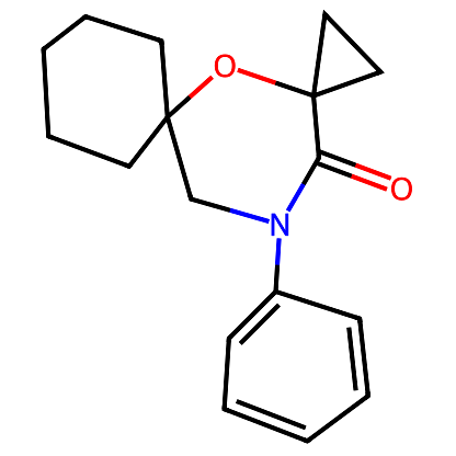 O=C1N(c2ccccc2)CC2(CCCCC2)OC12CC2